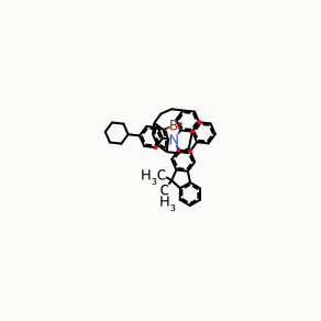 CC1(C)c2ccccc2-c2cc(-c3ccccc3)c(N(c3ccc(C4CCCCC4)cc3)c3cc4ccc3CCc3ccc(c(Br)c3)CC4)cc21